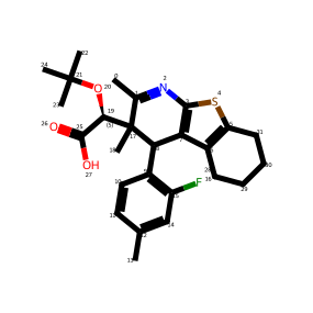 CC1=Nc2sc3c(c2C(c2ccc(C)cc2F)C1(C)[C@H](OC(C)(C)C)C(=O)O)CCCC3